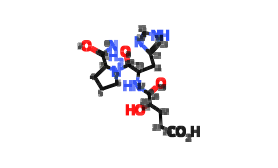 NC(=O)C1CCCN1C(=O)C(Cc1c[nH]cn1)NC(=O)C(O)CCC(=O)O